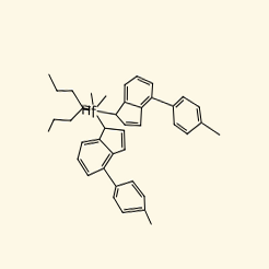 CCC[C](CCC)=[Hf]([CH3])([CH3])([CH]1C=Cc2c(-c3ccc(C)cc3)cccc21)[CH]1C=Cc2c(-c3ccc(C)cc3)cccc21